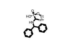 CCCC(NC(c1ccccc1)c1ccccc1)[P@](=O)(O)OCC